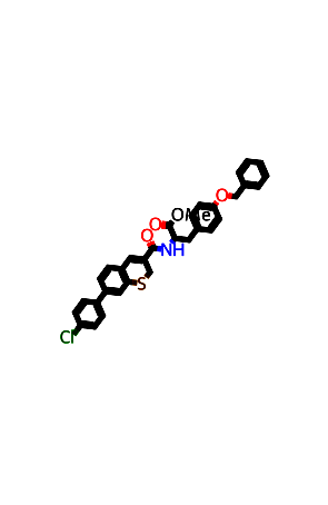 COC(=O)C(Cc1ccc(OCc2ccccc2)cc1)NC(=O)C1=Cc2ccc(-c3ccc(Cl)cc3)cc2SC1